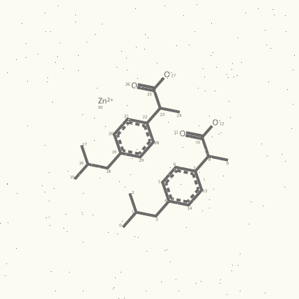 CC(C)Cc1ccc(C(C)C(=O)[O-])cc1.CC(C)Cc1ccc(C(C)C(=O)[O-])cc1.[Zn+2]